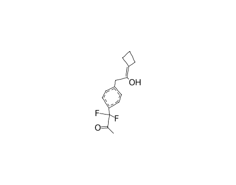 CC(=O)C(F)(F)c1ccc(CC(O)=C2CCC2)cc1